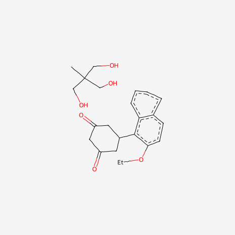 CC(CO)(CO)CO.CCOc1ccc2ccccc2c1C1CC(=O)CC(=O)C1